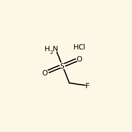 Cl.NS(=O)(=O)CF